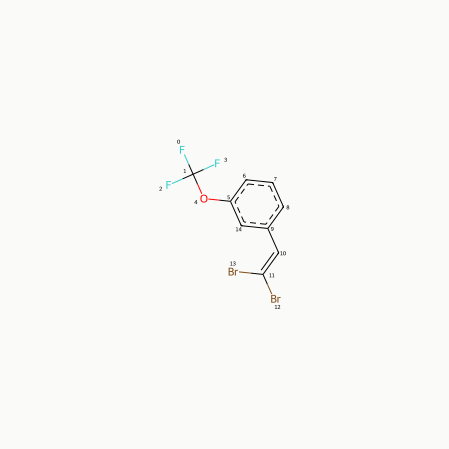 FC(F)(F)Oc1cccc(C=C(Br)Br)c1